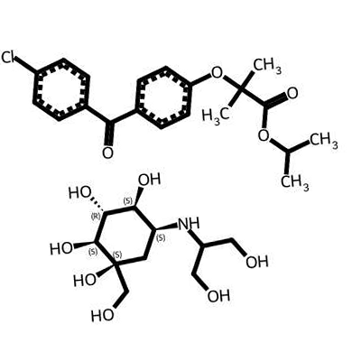 CC(C)OC(=O)C(C)(C)Oc1ccc(C(=O)c2ccc(Cl)cc2)cc1.OCC(CO)N[C@H]1C[C@](O)(CO)[C@@H](O)[C@H](O)[C@H]1O